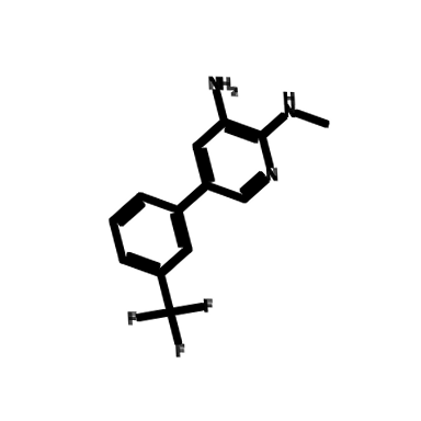 CNc1ncc(-c2cccc(C(F)(F)F)c2)cc1N